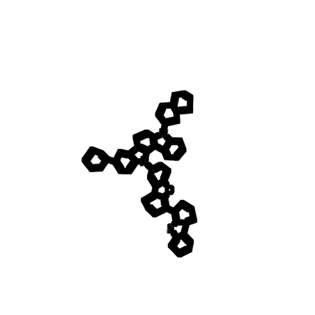 c1ccc(-c2ccc3c(c2)c2ccc4c(c5ccccc5n4-c4ccc5ccccc5c4)c2n3-c2ccc3oc4c(-c5cccc6c5sc5ccccc56)cccc4c3c2)cc1